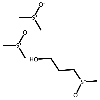 C[S+](C)[O-].C[S+](C)[O-].C[S+]([O-])CCCO